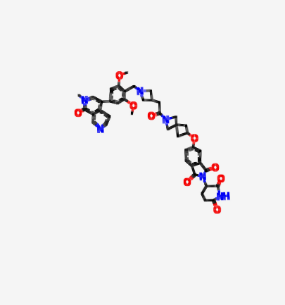 COc1cc(-c2cn(C)c(=O)c3cnccc23)cc(OC)c1CN1CC(CC(=O)N2CC3(CC(Oc4ccc5c(c4)C(=O)N(C4CCC(=O)NC4=O)C5=O)C3)C2)C1